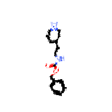 O=C(NCCC1CCCNCC1)OCc1ccccc1